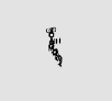 CC(C)CN1CCN(c2ccc(-c3cc4[nH]c(-c5ccc(S(C)(=O)=O)cc5)cc4cn3)cc2)CC1